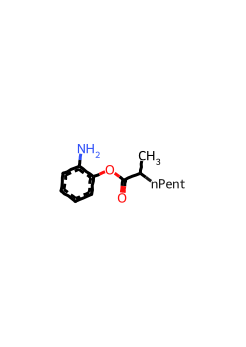 CCCCCC(C)C(=O)Oc1ccccc1N